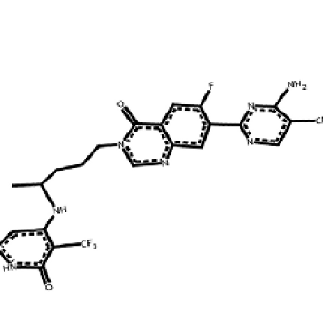 CC(CCCn1cnc2cc(-c3ncc(C#N)c(N)n3)c(F)cc2c1=O)Nc1cn[nH]c(=O)c1C(F)(F)F